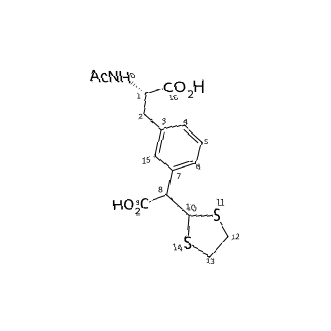 CC(=O)N[C@@H](Cc1cccc(C(C(=O)O)C2SCCS2)c1)C(=O)O